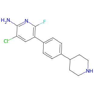 Nc1nc(F)c(-c2ccc(C3CCNCC3)cc2)cc1Cl